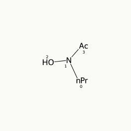 [CH2]CCN(O)C(C)=O